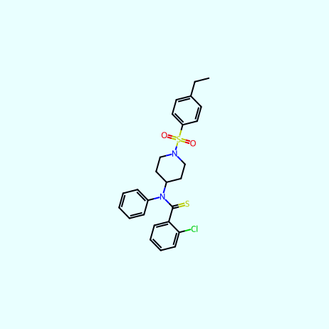 CCc1ccc(S(=O)(=O)N2CCC(N(C(=S)c3ccccc3Cl)c3ccccc3)CC2)cc1